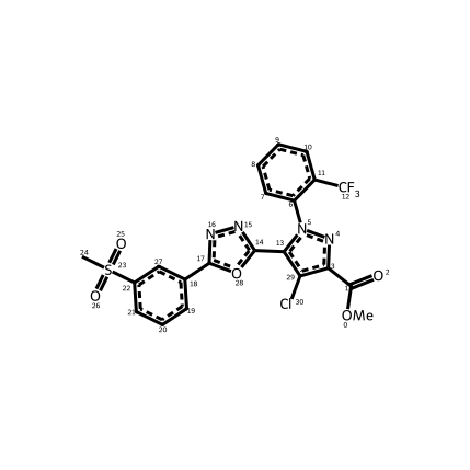 COC(=O)c1nn(-c2ccccc2C(F)(F)F)c(-c2nnc(-c3cccc(S(C)(=O)=O)c3)o2)c1Cl